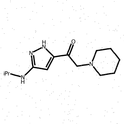 CC(C)Nc1cc(C(=O)CN2CCCCC2)[nH]n1